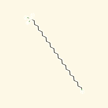 ClCCCCCCCCCCCCCCCCCCCCCCCCC[Si](Cl)(Cl)Cl